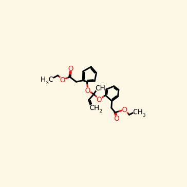 C=CC(C)(Oc1ccccc1CC(=O)OCC)Oc1ccccc1CC(=O)OCC